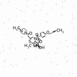 CC#CCOc1ccc(S(=O)(=O)N2C[C@H](CC(=O)N3CCN(C)CC3)SC(C)(C)[C@@H]2C(=O)NO)cc1